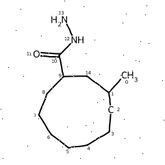 CC1CCCCCCCC(C(=O)NN)C1